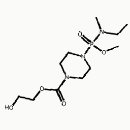 CCN(C)P(=O)(OC)N1CCN(C(=O)OCCO)CC1